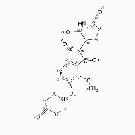 COc1c(CN2CCC(=O)CC2)ccc2c1C(=O)N(C1CCC(=O)NC1=O)C2=O